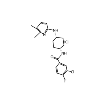 Cc1ccc(N[C@H]2CC[C@@H](NC(=O)c3ccc(F)c(Cl)c3)CC2)nc1C.Cl